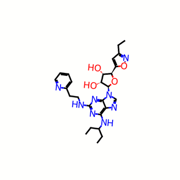 CCc1cc([C@H]2O[C@@H](n3cnc4c(NC(CC)CC)nc(NCCc5ccccn5)nc43)[C@H](O)[C@@H]2O)on1